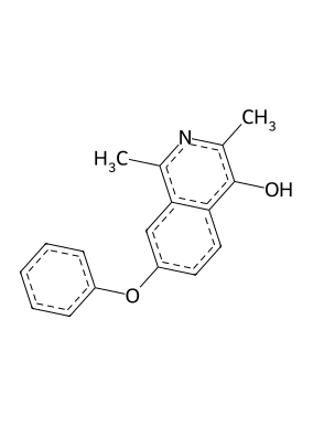 Cc1nc(C)c2cc(Oc3ccccc3)ccc2c1O